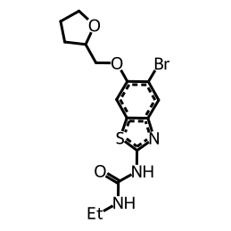 CCNC(=O)Nc1nc2cc(Br)c(OCC3CCCO3)cc2s1